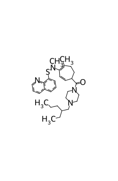 CCCC(CC)CN1CCN(C(=O)C2C=CC(N(C)Sc3cccc4cccnc34)=C(C)CC2)CC1